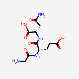 NCC(=O)N[C@@H](CCC(=O)O)C(=O)N[C@@H](CC(N)=O)C(=O)O